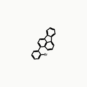 Brc1ccccc1-c1ccc2c3c(cccc13)-c1ccccc1-2